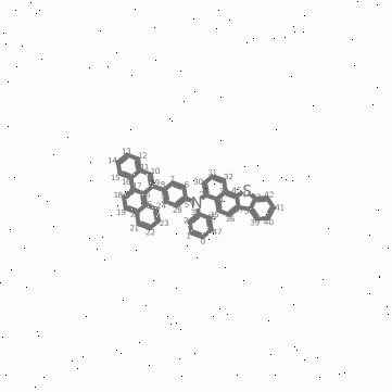 c1ccc(N(c2ccc(-c3cc4ccccc4c4ccc5ccccc5c34)cc2)c2cccc3c2ccc2c4ccccc4sc32)cc1